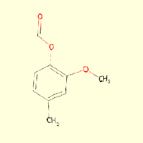 COc1cc(C)ccc1OC=O